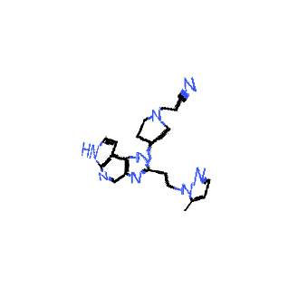 Cc1ccnn1CCc1nc2cnc3[nH]ccc3c2n1C1CCN(CCC#N)CC1